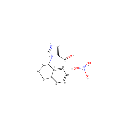 O=Cc1cncn1C1CCCc2ccccc21.O=[N+]([O-])O